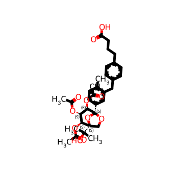 CC(=O)O[C@@H]1[C@@H](OC(C)=O)[C@@]2(c3ccc(C)c(Cc4ccc(CCCC(=O)O)cc4)c3)OC[C@](C(C)(C)O)(O2)[C@H]1OC(C)=O